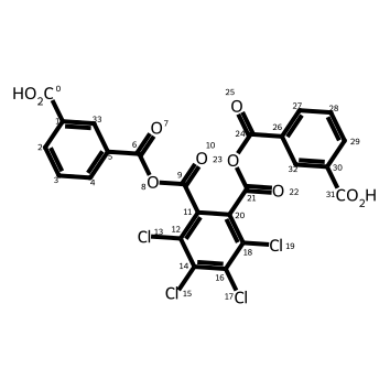 O=C(O)c1cccc(C(=O)OC(=O)c2c(Cl)c(Cl)c(Cl)c(Cl)c2C(=O)OC(=O)c2cccc(C(=O)O)c2)c1